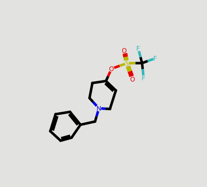 O=S(=O)(OC1=CCN(Cc2ccccc2)CC1)C(F)(F)F